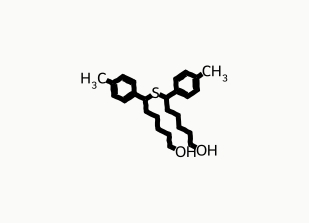 Cc1ccc(C(CCCCCO)SC(CCCCCO)c2ccc(C)cc2)cc1